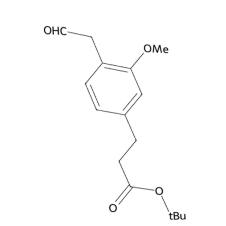 COc1cc(CCC(=O)OC(C)(C)C)ccc1CC=O